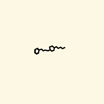 CCCCCC1CCC(CCCCc2cc[c]cc2)CC1